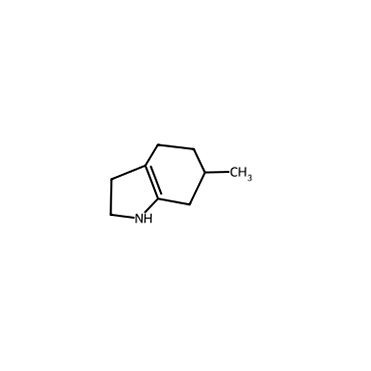 CC1CCC2=C(C1)NCC2